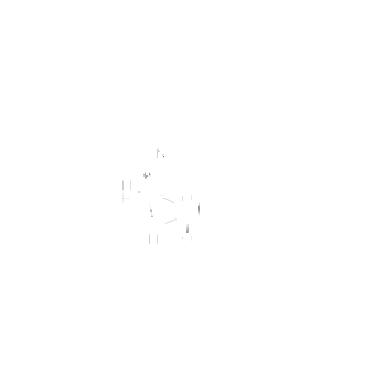 CCCCSc1cc(=O)c2c(O)cc(O)c([C@@H]3CCN(C)C[C@@H]3O)c2o1